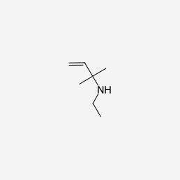 C=CC(C)(C)NCC